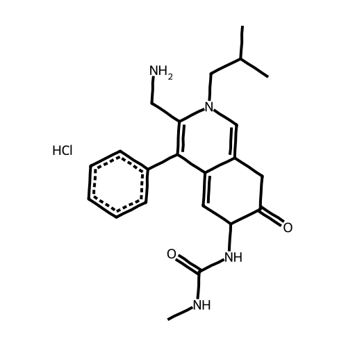 CNC(=O)NC1C=C2C(=CN(CC(C)C)C(CN)=C2c2ccccc2)CC1=O.Cl